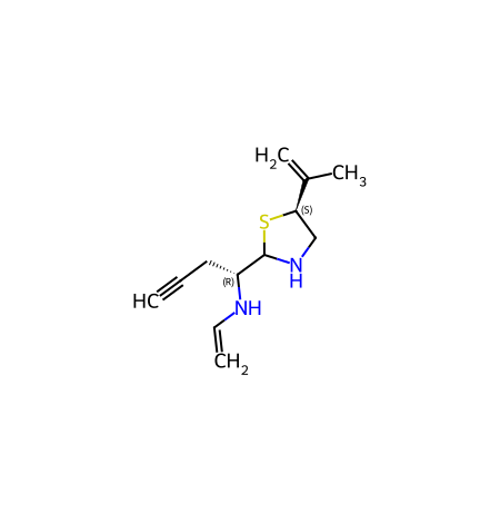 C#CC[C@@H](NC=C)C1NC[C@H](C(=C)C)S1